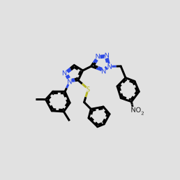 Cc1cc(C)cc(-n2ncc(-c3nnn(Cc4ccc([N+](=O)[O-])cc4)n3)c2SCc2ccccc2)c1